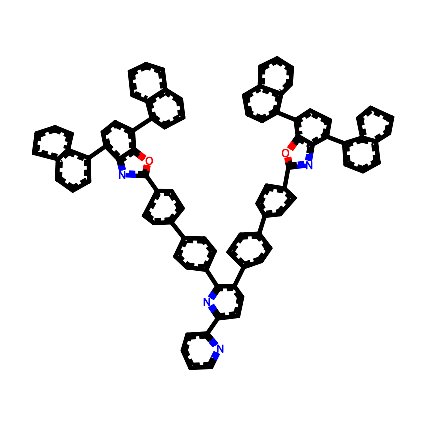 c1ccc(-c2ccc(-c3ccc(-c4ccc(-c5nc6c(-c7cccc8ccccc78)ccc(-c7cccc8ccccc78)c6o5)cc4)cc3)c(-c3ccc(-c4ccc(-c5nc6c(-c7cccc8ccccc78)ccc(-c7cccc8ccccc78)c6o5)cc4)cc3)n2)nc1